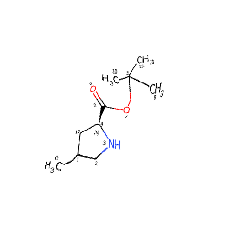 CC1CN[C@H](C(=O)OC(C)(C)C)C1